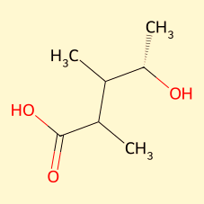 CC(C(=O)O)C(C)[C@H](C)O